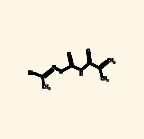 C=C(C)C(=O)NC(=O)ON=C(C)CC